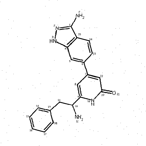 Nc1n[nH]c2cc(-c3cc(C(N)Cc4ccccc4)[nH]c(=O)c3)ccc12